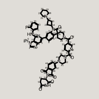 CC(C)n1cnc2cc(-c3ccc4c(c3)N(C3CC(N5CCCCC5)C3)C(=O)C43CCN(C(=O)c4ccc(C(=O)N5CCN(c6ccc7c(c6)C(=O)N([C@@H]6CCC(=O)NC6=O)C7=O)CC5)nc4)CC3)nc(Nc3ccccc3F)c21